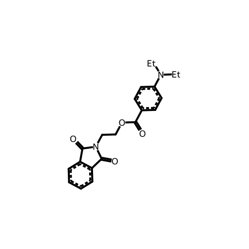 CCN(CC)c1ccc(C(=O)OCCN2C(=O)c3ccccc3C2=O)cc1